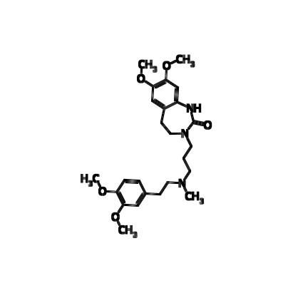 COc1ccc(CCN(C)CCCN2CCc3cc(OC)c(OC)cc3NC2=O)cc1OC